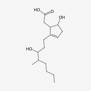 CCCCC(C)C(O)CCC1=CCC(O)C1CC(=O)O